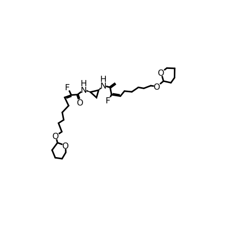 C=C(N[C@H]1C[C@H]1NC(=O)/C(F)=C\CCCCCOC1CCCCO1)/C(F)=C\CCCCCOC1CCCCO1